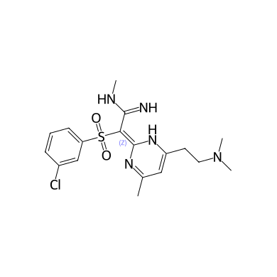 CNC(=N)/C(=C1/N=C(C)C=C(CCN(C)C)N1)S(=O)(=O)c1cccc(Cl)c1